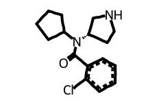 O=C(c1ccccc1Cl)N(C1CCCC1)[C@H]1CCNC1